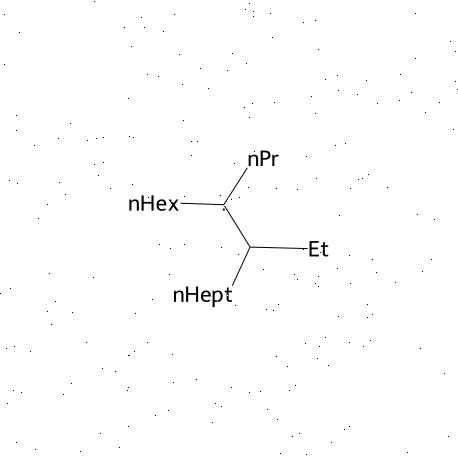 CCCCCCCC(CC)[C](CCC)CCCCCC